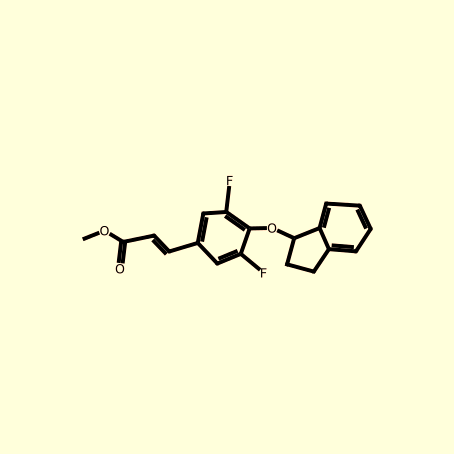 COC(=O)C=Cc1cc(F)c(OC2CCc3ccccc32)c(F)c1